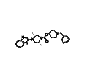 C[C@@H]1CN(c2cnc3ccccc3n2)[C@H](C)CN1C(=O)OC1CCN(Cc2ccccc2)CC1